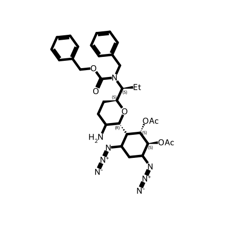 CC[C@@H]([C@@H]1CCC(N)[C@@H](C2C(N=[N+]=[N-])CC(N=[N+]=[N-])[C@H](OC(C)=O)[C@H]2OC(C)=O)O1)N(Cc1ccccc1)C(=O)OCc1ccccc1